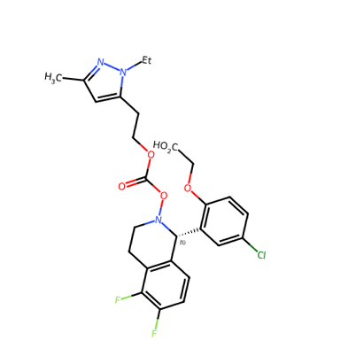 CCn1nc(C)cc1CCOC(=O)ON1CCc2c(ccc(F)c2F)[C@H]1c1cc(Cl)ccc1OCC(=O)O